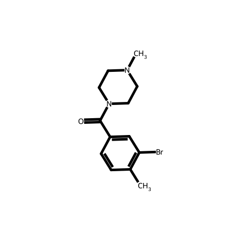 Cc1ccc(C(=O)N2CCN(C)CC2)cc1Br